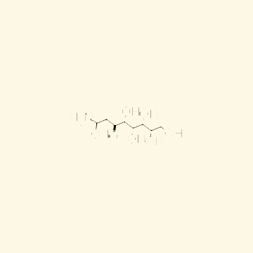 NC(O)CC(=O)[C@H](O)[C@@H](O)[C@H](O)[C@H](O)CO